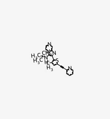 Cc1cc(C#Cc2ccccn2)sc1-c1nc2cnccn2c1NC(C)(C)C